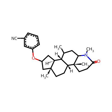 CC1CC2N(C)C(=O)CC[C@]2(C)[C@@H]2CC[C@]3(C)CC(Oc4cccc(C#N)c4)C[C@H]3[C@H]12